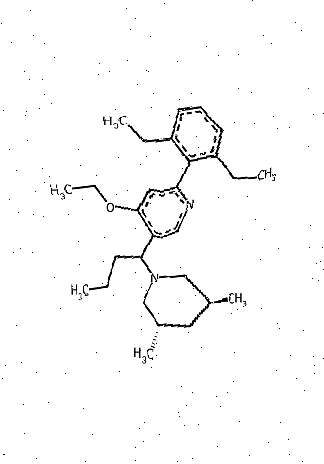 CCCC(c1cnc(-c2c(CC)cccc2CC)cc1OCC)N1C[C@@H](C)C[C@H](C)C1